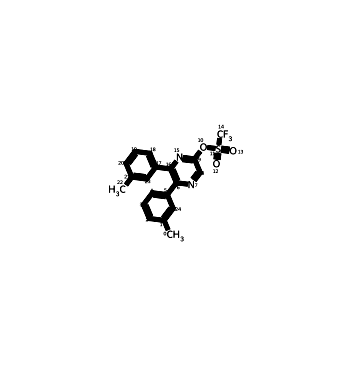 Cc1cccc(-c2ncc(OS(=O)(=O)C(F)(F)F)nc2-c2cccc(C)c2)c1